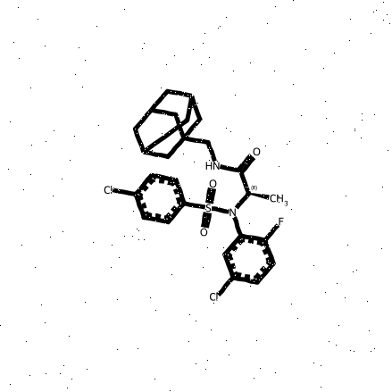 C[C@H](C(=O)NCC12CC3CC(CC(C3)C1)C2)N(c1cc(Cl)ccc1F)S(=O)(=O)c1ccc(Cl)cc1